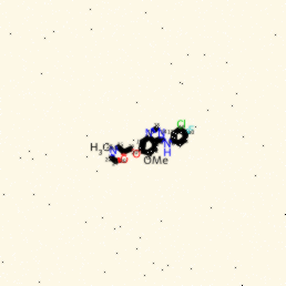 COc1cc2c(Nc3ccc(F)c(Cl)c3)ncnc2cc1OCC1CN(C)CCO1